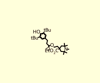 CCOC(=O)C1(CCOC(=O)CCc2cc(C(C)(C)C)c(O)c(C(C)(C)C)c2)CC(C)(C)N(C)C(C)(C)C1